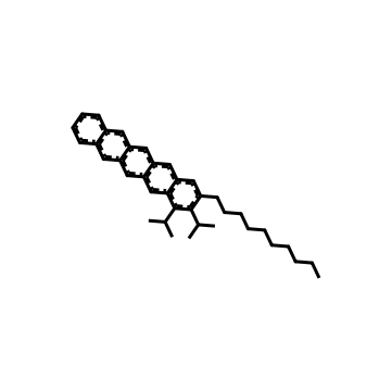 CCCCCCCCCCc1cc2cc3cc4cc5ccccc5cc4cc3cc2c(C(C)C)c1C(C)C